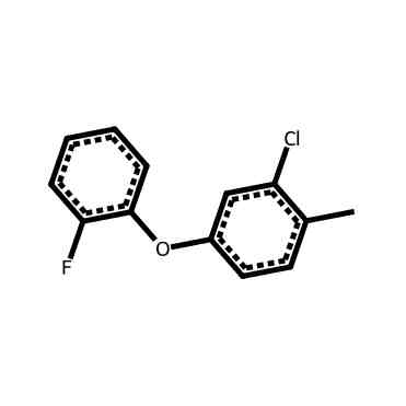 Cc1ccc(Oc2ccccc2F)cc1Cl